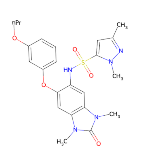 CCCOc1cccc(Oc2cc3c(cc2NS(=O)(=O)c2cc(C)nn2C)n(C)c(=O)n3C)c1